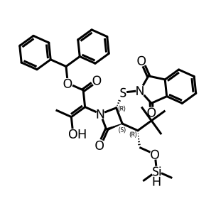 CC(O)=C(C(=O)OC(c1ccccc1)c1ccccc1)N1C(=O)[C@H]([C@@H](CO[SiH](C)C)C(C)(C)C)[C@H]1SN1C(=O)c2ccccc2C1=O